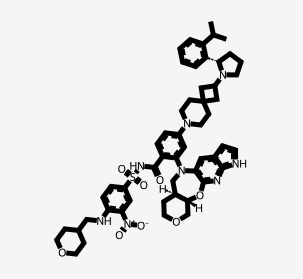 CC(C)c1ccccc1[C@@H]1CCCN1C1CC2(CCN(c3ccc(C(=O)NS(=O)(=O)c4ccc(NCC5CCOCC5)c([N+](=O)[O-])c4)c(N4C[C@@H]5CCOC[C@H]5Oc5nc6[nH]ccc6cc54)c3)CC2)C1